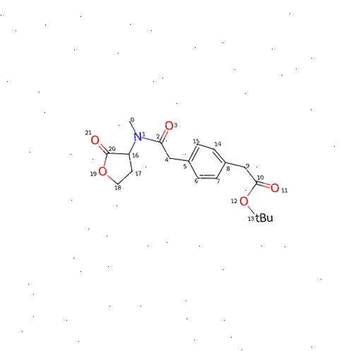 CN(C(=O)Cc1ccc(CC(=O)OC(C)(C)C)cc1)C1CCOC1=O